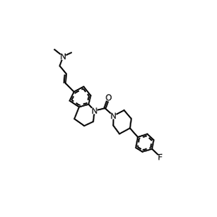 CN(C)CC=Cc1ccc2c(c1)CCCN2C(=O)N1CCC(c2ccc(F)cc2)CC1